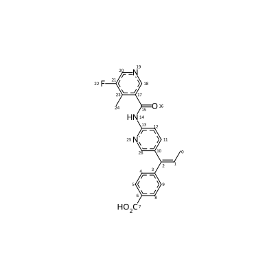 CC=C(c1ccc(C(=O)O)cc1)c1ccc(NC(=O)c2cncc(F)c2C)nc1